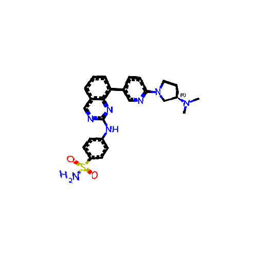 CN(C)[C@@H]1CCN(c2ccc(-c3cccc4cnc(Nc5ccc(S(N)(=O)=O)cc5)nc34)cn2)C1